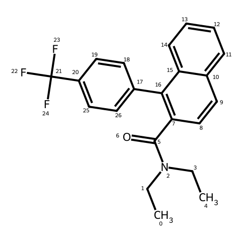 CCN(CC)C(=O)c1ccc2ccccc2c1-c1ccc(C(F)(F)F)cc1